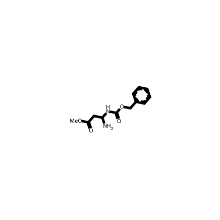 COC(=O)CC(N)NC(=O)OCc1ccccc1